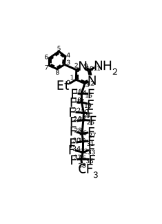 CCc1c(-c2ccccc2)nc(N)nc1C(F)(F)C(F)(F)C(F)(F)C(F)(F)C(F)(F)C(F)(F)C(F)(F)C(F)(F)C(F)(F)F